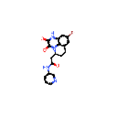 O=C(CC1CCc2cc(Br)cc3[nH]c(=O)c(=O)n1c23)Nc1cccnc1